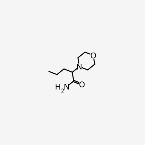 CCCC(C(N)=O)N1CCOCC1